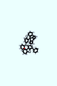 c1cccc(-c2ccc(N(c3ccccc3)c3ccc4c(c3)C3(c5ccccc5O4)c4ccccc4-c4ccccc43)c3c2oc2ccccc23)c#1